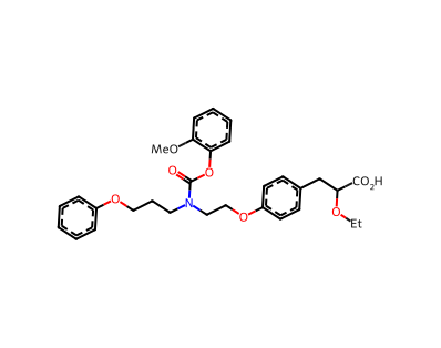 CCOC(Cc1ccc(OCCN(CCCOc2ccccc2)C(=O)Oc2ccccc2OC)cc1)C(=O)O